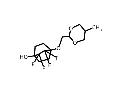 CC1COC(COC23CCC(O)(CC2)C(F)(F)C3(F)F)OC1